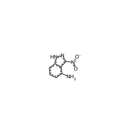 Nc1cccc2[nH]nc([N+](=O)[O-])c12